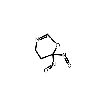 O=NC1(N=O)CCN=CO1